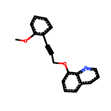 COc1ccccc1C#CCOc1cccc2cccnc12